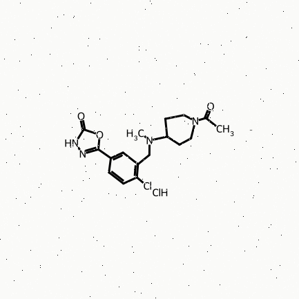 CC(=O)N1CCC(N(C)Cc2cc(-c3n[nH]c(=O)o3)ccc2Cl)CC1.Cl